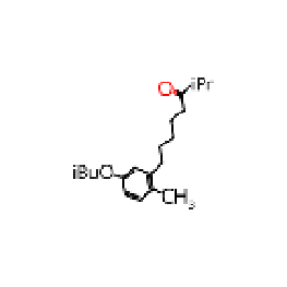 Cc1ccc(OCC(C)C)cc1CCCCCC(=O)C(C)C